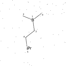 CB(C)CCC(C)C